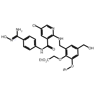 CCOC(=O)COc1c(CNc2ncc(Cl)cc2C(=O)Nc2ccc(/C(N)=N/O)cc2)cc(CO)cc1OC(C)C